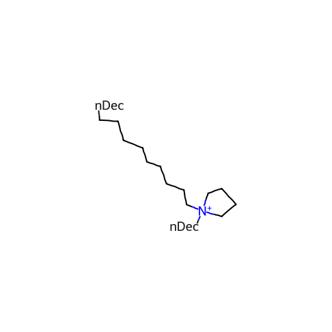 CCCCCCCCCCCCCCCCCCC[N+]1(CCCCCCCCCC)CCCC1